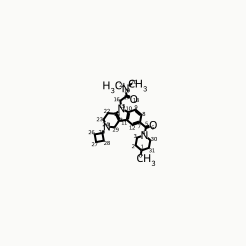 CC1CCN(C(=O)c2ccc3c(c2)c2c(n3CC(=O)N(C)C)CCN(C3CCC3)C2)CC1